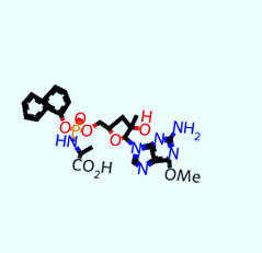 COc1nc(N)nc2c1ncn2C1OC(COP(=O)(NC(C)C(=O)O)Oc2cccc3ccccc23)CC1(C)O